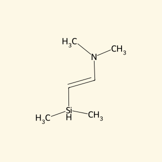 CN(C)C=C[SiH](C)C